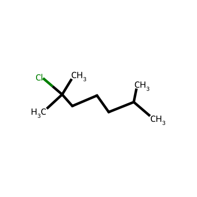 CC(C)CCCC(C)(C)Cl